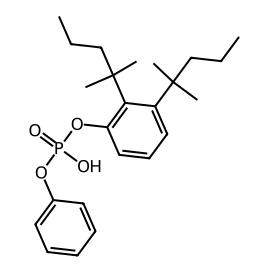 CCCC(C)(C)c1cccc(OP(=O)(O)Oc2ccccc2)c1C(C)(C)CCC